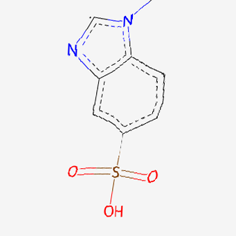 Cn1[c]nc2cc(S(=O)(=O)O)ccc21